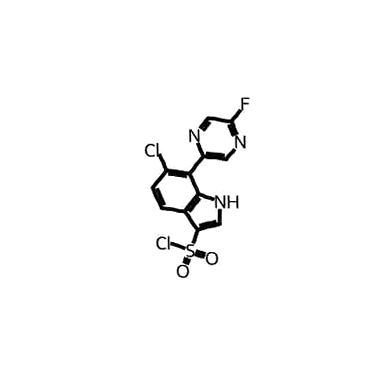 O=S(=O)(Cl)c1c[nH]c2c(-c3cnc(F)cn3)c(Cl)ccc12